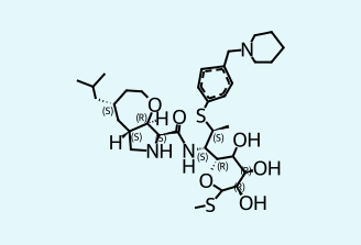 CSC1O[C@H]([C@H](NC(=O)[C@H]2NC[C@@H]3C[C@H](CC(C)C)CCO[C@H]32)[C@H](C)Sc2ccc(CN3CCCCC3)cc2)C(O)[C@@H](O)[C@H]1O